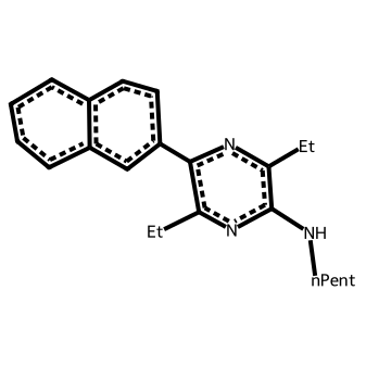 CCCCCNc1nc(CC)c(-c2ccc3ccccc3c2)nc1CC